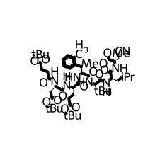 COC(OC)[C@H](CC#N)NC(=O)[C@H](CC(C)C)NC(=O)[C@@H](NC(=O)[C@H](Cc1ccccc1C)NC(=O)[C@H](CCC(=O)OC(C)(C)C)NC(=O)[C@H](CC(=O)OC(C)(C)C)NC(=O)CCC(=O)OC(C)(C)C)C(C)(C)C